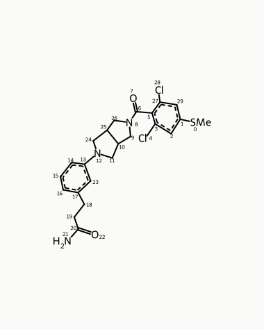 CSc1cc(Cl)c(C(=O)N2CC3CN(c4cccc(CCC(N)=O)c4)CC3C2)c(Cl)c1